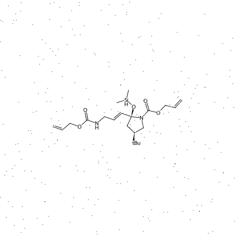 C=CCOC(=O)NC/C=C/[C@@]1(O[SiH](C)C)C[C@H](C(C)(C)C)CN1C(=O)OCC=C